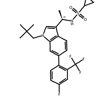 C[C@@H](NS(=O)(=O)C1CC1)c1cn(CC(C)(C)C)c2cc(-c3ccc(F)cc3C(F)(F)F)ccc12